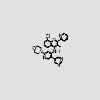 Cc1c(-c2ccccn2)nc2c(Cl)cccc2c1Nc1cc(N2CCOCC2)ncc1-c1cncnc1